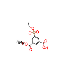 CCOS(=O)(=O)c1cc(C(=O)O)cc(C(=O)O)c1.[NaH]